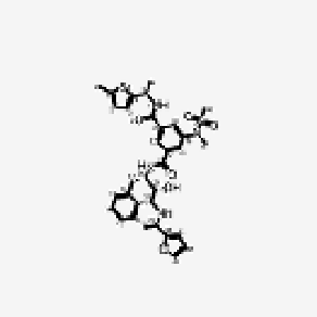 Cc1ccc(C(C)NC(=O)c2cc(C(=O)N[C@@H](Cc3ccccc3)[C@H](O)CNC(C)c3ccco3)cc(N(C)S(C)(=O)=O)c2)s1